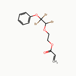 C=CC(=O)OCCOC(Br)C(Br)(Br)Oc1ccccc1